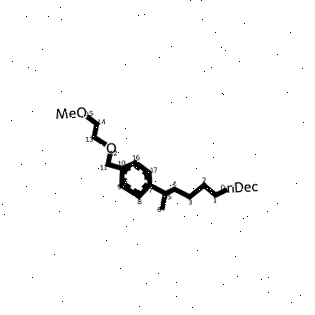 CCCCCCCCCCCCCCC(C)c1ccc(COCCOC)cc1